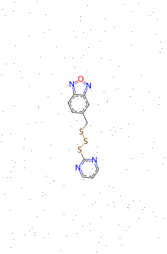 c1cnc(SSSCc2ccc3nonc3c2)nc1